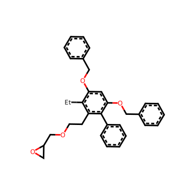 CCc1c(OCc2ccccc2)cc(OCc2ccccc2)c(-c2ccccc2)c1CCOCC1CO1